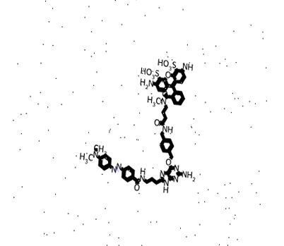 CN(CCCC(=O)NCc1ccc(COc2nc(N)nc3[nH]c(CCCNC(=O)c4ccc(/N=N/c5ccc(N(C)C)cc5)cc4)nc23)cc1)C(=O)c1ccccc1-c1c2ccc(=N)c(S(=O)(=O)O)c-2oc2c(S(=O)(=O)O)c(N)ccc12